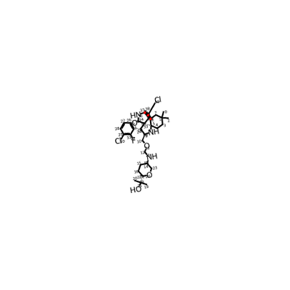 CC1(C)CCC2(CC1)N[C@@H](COCN[C@@H]1CC[C@@H](C(C)(C)O)OC1)[C@H](c1cccc(Cl)c1F)[C@]21C(=O)Nc2cc(Cl)ccc21